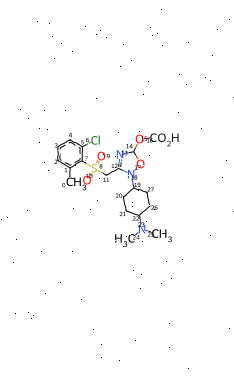 Cc1cccc(Cl)c1S(=O)(=O)CC1=NC(OC(=O)O)ON1C1CCC(N(C)C)CC1